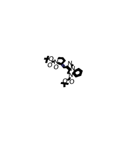 CC(C)(C)OC(=O)N1CCC/C(=C\c2ncn3c2CN(C(=O)OC(C)(C)C)c2ccccc2-3)C1=O